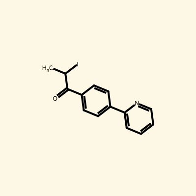 CC(I)C(=O)c1ccc(-c2ccccn2)cc1